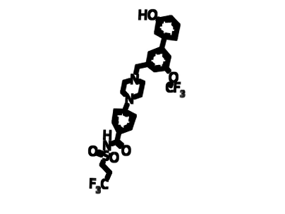 O=C(NS(=O)(=O)CCC(F)(F)F)c1ccc(N2CCN(Cc3cc(OC(F)(F)F)cc(-c4cccc(O)c4)c3)CC2)cc1